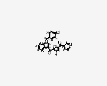 O=C(c1cccnc1)c1c[nH]c(C(=O)c2cn(Cc3ccc(Cl)cc3)c3ccccc23)n1